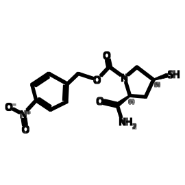 NC(=O)[C@@H]1C[C@H](S)CN1C(=O)OCc1ccc([N+](=O)[O-])cc1